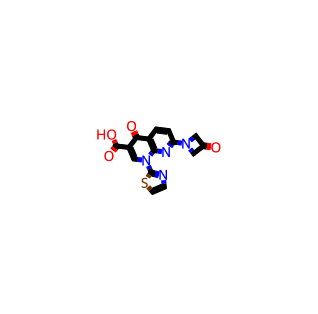 O=C1CN(c2ccc3c(=O)c(C(=O)O)cn(-c4nccs4)c3n2)C1